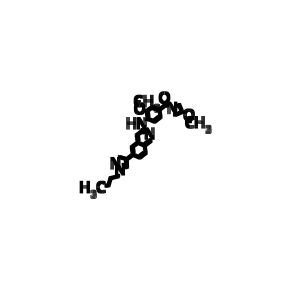 CCCCn1cc(-c2ccc3cnc(Nc4ccc(C(=O)N5CC(OC)C5)cc4OC)cc3c2)cn1